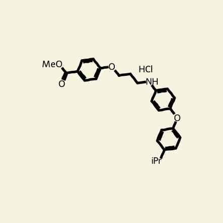 COC(=O)c1ccc(OCCCNc2ccc(Oc3ccc(C(C)C)cc3)cc2)cc1.Cl